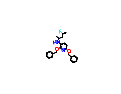 C=C(F)CC(C)Nc1ccc(OCc2ccccc2)nc1OCc1ccccc1